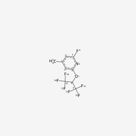 Cc1[c]c(F)nc(OC(C(F)(F)F)C(F)(F)F)c1